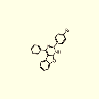 Brc1ccc(C2=NC(c3ccccc3)=C3c4ccccc4OC3N2)cc1